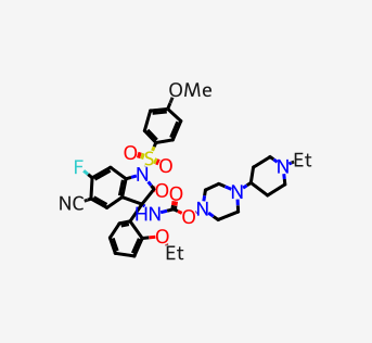 CCOc1ccccc1C1(NC(=O)ON2CCN(C3CCN(CC)CC3)CC2)C(=O)N(S(=O)(=O)c2ccc(OC)cc2)c2cc(F)c(C#N)cc21